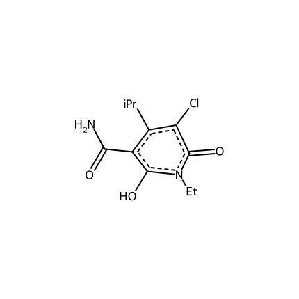 CCn1c(O)c(C(N)=O)c(C(C)C)c(Cl)c1=O